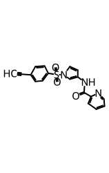 C#Cc1ccc(S(=O)(=O)n2ccc(NC(=O)c3ccccn3)c2)cc1